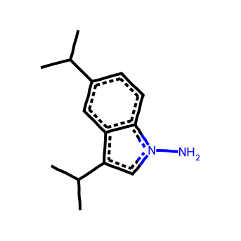 CC(C)c1ccc2c(c1)c(C(C)C)cn2N